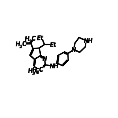 C=C(/N=C1\C(=C/C)C=C(C(=C)C)C1C(CC)CC)Nc1ccc(N2CCNCC2)cc1